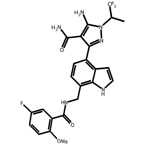 COc1ccc(F)cc1C(=O)NCc1ccc(-c2nn(C(C)C(F)(F)F)c(N)c2C(N)=O)c2cc[nH]c12